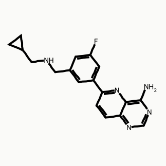 Nc1ncnc2ccc(-c3cc(F)cc(CNCC4CC4)c3)nc12